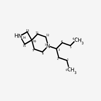 CCCC(CCC)N1CCC2(CC1)CNC2